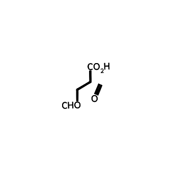 C=O.O=CCCC(=O)O